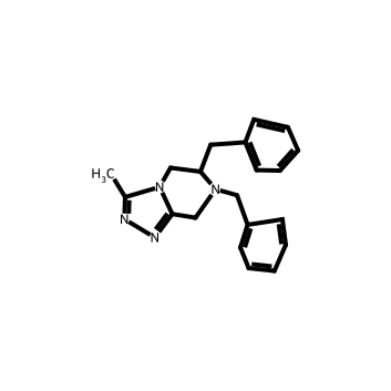 Cc1nnc2n1CC(Cc1ccccc1)N(Cc1ccccc1)C2